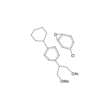 COCC(COC(C)=O)c1ccc(C2CCCCC2)cc1.Clc1ccc2c(c1)O2